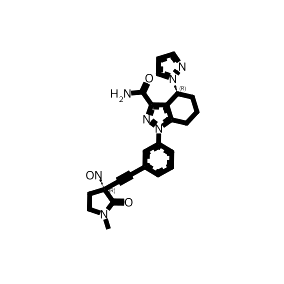 CN1CC[C@](C#Cc2cccc(-n3nc(C(N)=O)c4c3CCC[C@H]4n3cccn3)c2)(N=O)C1=O